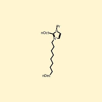 CCCCCCCCCCCCCCCCCC[n+]1ccn(C(C)C)c1CCCCCCCC